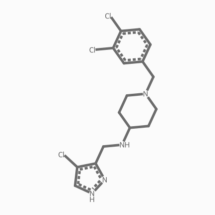 Clc1ccc(CN2CCC(NCc3n[nH]cc3Cl)CC2)cc1Cl